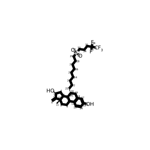 C=C1[C@H](O)CC2C3C(CC[C@]12C)c1ccc(O)cc1C[C@H]3CCCCCCCCCS(=O)(=O)CCCC(F)(F)C(F)(F)F